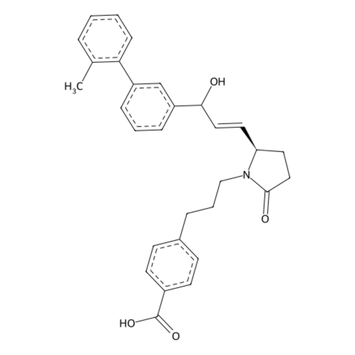 Cc1ccccc1-c1cccc(C(O)/C=C/[C@H]2CCC(=O)N2CCCc2ccc(C(=O)O)cc2)c1